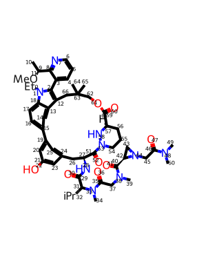 CCn1c(-c2cccnc2[C@H](C)OC)c2c3cc(ccc31)-c1cc(O)cc(c1)C[C@H](NC(=O)C(C(C)C)N(C)C(=O)CN(C)C(=O)[C@H]1CN1CC(=O)N(C)C)C(=O)N1CCC[C@H](N1)C(=O)OCC(C)(C)C2